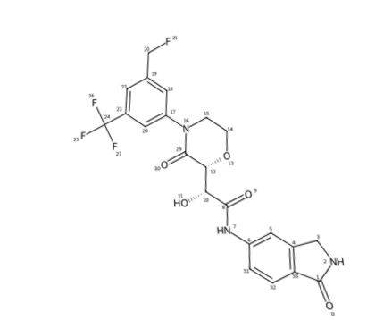 O=C1NCc2cc(NC(=O)[C@H](O)[C@H]3OCCN(c4cc(CF)cc(C(F)(F)F)c4)C3=O)ccc21